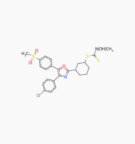 CN(O)C(=S)SC1CCCC(c2nc(-c3ccc(Cl)cc3)c(-c3ccc(S(C)(=O)=O)cc3)o2)C1